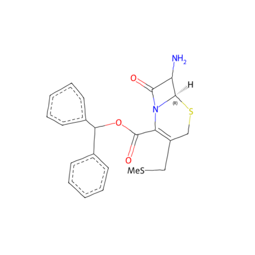 CSCC1=C(C(=O)OC(c2ccccc2)c2ccccc2)N2C(=O)C(N)[C@H]2SC1